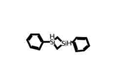 c1ccc([SiH]2C[SiH](c3ccccc3)C2)cc1